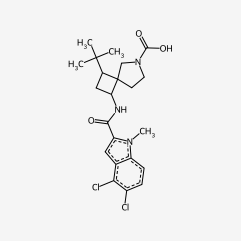 Cn1c(C(=O)NC2CC(C(C)(C)C)C23CCN(C(=O)O)C3)cc2c(Cl)c(Cl)ccc21